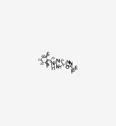 CC(Nc1ncc(-c2nnc(C(F)F)o2)cn1)c1c(F)cccc1F